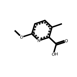 COc1ccc(C)c(C(=O)O)n1